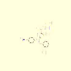 COc1ccccc1CN(c1ccc(C#N)cc1)c1nc(C(=O)NSC)c(Br)s1